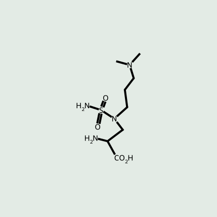 CN(C)CCCN(CC(N)C(=O)O)S(N)(=O)=O